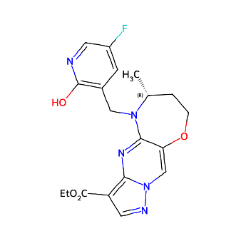 CCOC(=O)c1cnn2cc3c(nc12)N(Cc1cc(F)cnc1O)[C@H](C)CCO3